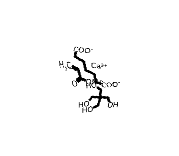 C=CC(=O)OC.O=C([O-])CCCCCC(=O)[O-].OCC(CO)(CO)CO.[Ca+2]